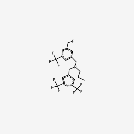 CCCN(Cc1cc(CF)cc(C(F)(F)F)c1)Cc1cc(C(F)(F)F)cc(C(F)(F)F)c1